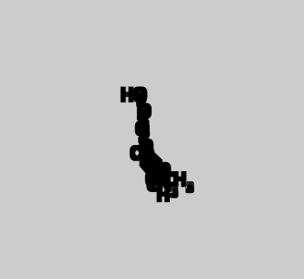 CNP(=O)(OC)N1CCN(C(=O)OCCOCCOCCO)CC1